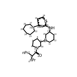 CCCC(CCC)C(=O)N1CCCC(N2CCCC(Nc3nccc(N4CCCCCC4)n3)C2)C1